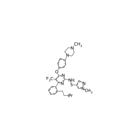 CC(C)CCc1ccccc1-c1nc(NSc2cnn(C)c2)nc(Oc2ccc(N3CCN(C)CC3)cc2)c1C(F)(F)F